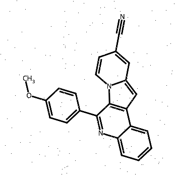 COc1ccc(-c2nc3ccccc3c3cc4cc(C#N)ccn4c23)cc1